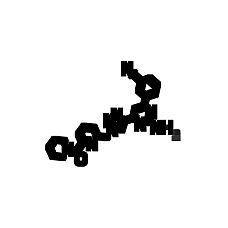 N#Cc1cccc(-c2cc(-c3cn(Cc4cccc(C(=O)N5CCCCC5)n4)nn3)nc(N)n2)c1